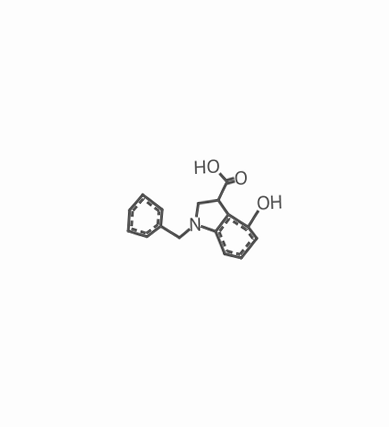 O=C(O)C1CN(Cc2ccccc2)c2cccc(O)c21